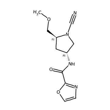 COC[C@@H]1C[C@@H](NC(=O)c2ncco2)CN1C#N